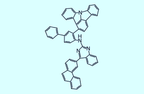 c1ccc(-c2ccc(Nc3nc(-c4ccc5ccc6ccccc6c5c4)c4ccccc4n3)c(-c3ccc4c5ccccc5n5c6ccccc6c3c45)c2)cc1